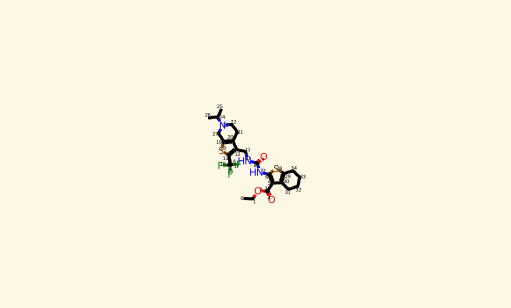 CCOC(=O)c1c(NC(=O)NCc2c(C(F)(F)F)sc3c2CCN(C(C)C)C3)sc2c1CCCC2